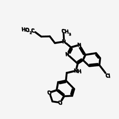 CN(CCCC(=O)O)c1nc(NCc2ccc3c(c2)OCO3)c2cc(Cl)ccc2n1